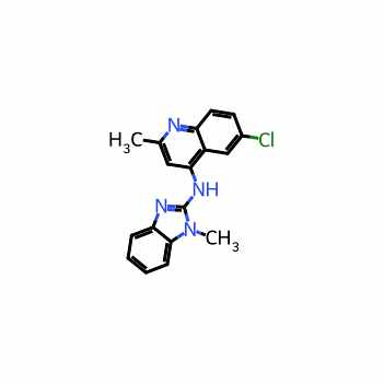 Cc1cc(Nc2nc3ccccc3n2C)c2cc(Cl)ccc2n1